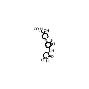 Cl.O=C(O)CC1(O)CCN(c2ccc(N[C@@H]3CCC(=O)NC3=O)cc2F)CC1